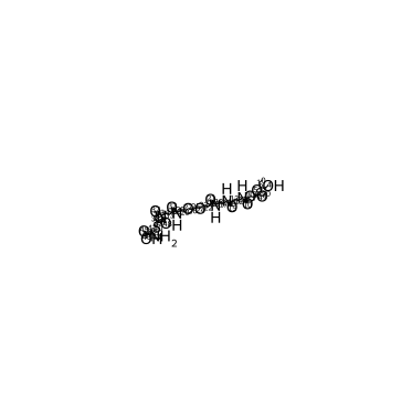 CCC(CO)OC(COC(=O)NCCC(=O)NCCNC(=O)CCOCCOCCNC(=O)CCN1C(=O)C=C(SCC(N)C(=O)O)C1=O)OC